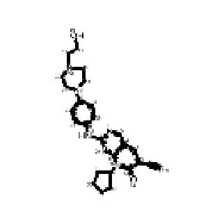 N#Cc1cc2cnc(Nc3ccc(N4CCN(CCO)CC4)cc3)nc2n(C2CCCC2)c1=O